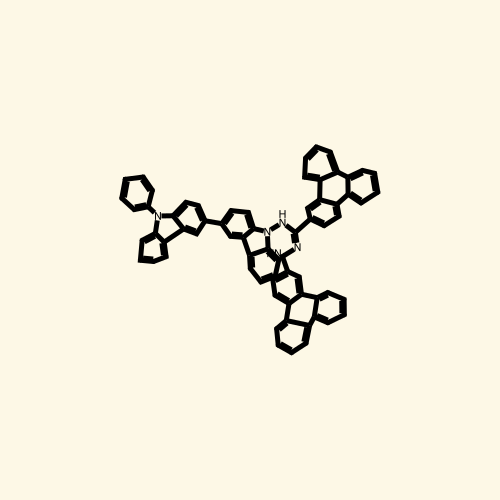 N=C(/N=C(\Nn1c2ccccc2c2cc(-c3ccc4c(c3)c3ccccc3n4-c3ccccc3)ccc21)c1ccc2c3ccccc3c3ccccc3c2c1)c1ccc2c3ccccc3c3ccccc3c2c1